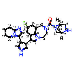 O=C(N1CCn2cc(-c3c[nH]cc3-c3cnc4ccccn34)c3cc(F)cc(c32)C1)N1C[C@H]2C[C@@H]1CN2